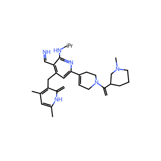 C=C1NC(C)=CC(C)=C1Cc1cc(C2=CCN(C(=C)C3CCCN(C)C3)CC2)nc(NC(C)C)c1C=N